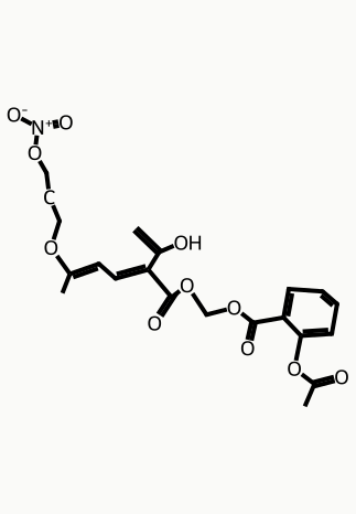 C=C(O)/C(=C\C=C(/C)OCCCO[N+](=O)[O-])C(=O)OCOC(=O)c1ccccc1OC(C)=O